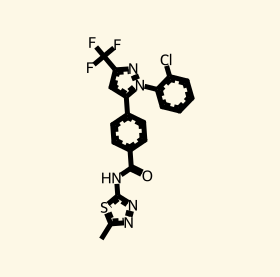 Cc1nnc(NC(=O)c2ccc(-c3cc(C(F)(F)F)nn3-c3ccccc3Cl)cc2)s1